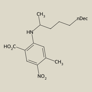 CCCCCCCCCCCCCC(C)Nc1cc(C)c([N+](=O)[O-])cc1C(=O)O